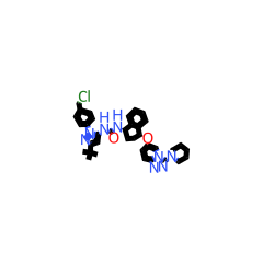 CC(C)(C)c1cc(NC(=O)N[C@H]2CC[C@@H](Oc3ccc4nnc(N5CCCCC5)n4c3)c3ccccc32)n(-c2ccc(CCl)cc2)n1